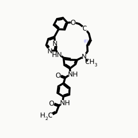 C=CC(=O)Nc1ccc(C(=O)Nc2cc3cc(c2)N(C)C/C=C/CCCOc2cccc(c2)-c2ccnc(n2)N3)cc1